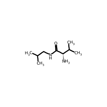 CC(C)CNC(=O)[C@@H](N)C(C)C